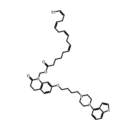 CC/C=C\C/C=C\C/C=C\C/C=C\CCCCC(=O)OCN1C(=O)CCc2ccc(OCCCCN3CCN(c4cccc5sccc45)CC3)cc21